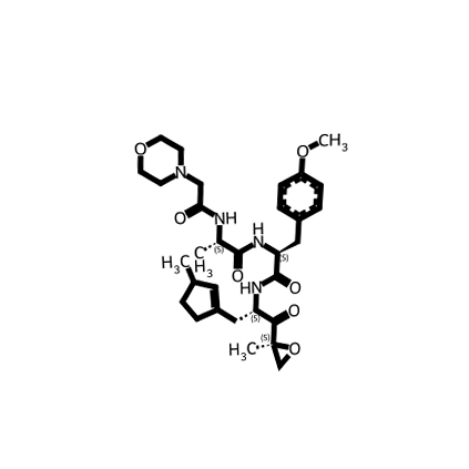 COc1ccc(C[C@H](NC(=O)[C@H](C)NC(=O)CN2CCOCC2)C(=O)N[C@@H](CC2=CC(C)CC2)C(=O)[C@]2(C)CO2)cc1